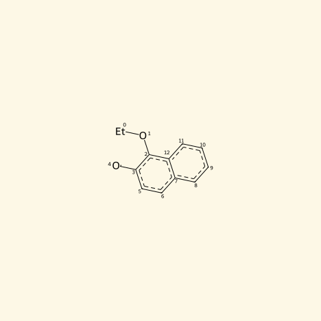 CCOc1c([O])ccc2ccccc12